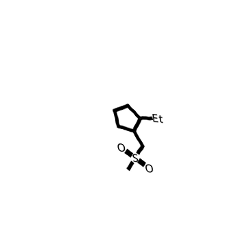 CCC1CCCC1CS(C)(=O)=O